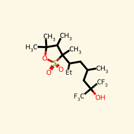 CCC(CC(C)CC(O)(C(F)(F)F)C(F)(F)F)C1(C)C(C)C(C)(C)OS1(=O)=O